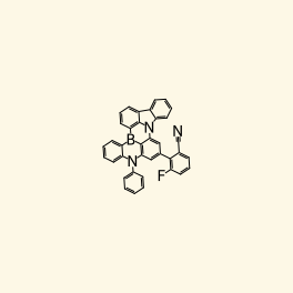 N#Cc1cccc(F)c1-c1cc2c3c(c1)-n1c4ccccc4c4cccc(c41)B3c1ccccc1N2c1ccccc1